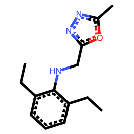 CCc1cccc(CC)c1NCc1nnc(C)o1